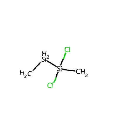 C[SiH2][Si](C)(Cl)Cl